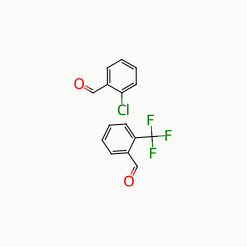 O=Cc1ccccc1C(F)(F)F.O=Cc1ccccc1Cl